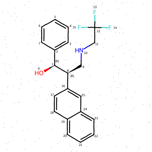 O[C@@H](c1ccccc1)[C@@H](CNCC(F)(F)F)c1ccc2ccccc2c1